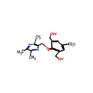 Cc1nc(C)c(COc2c(CO)cc(C(=O)O)cc2CO)nc1C